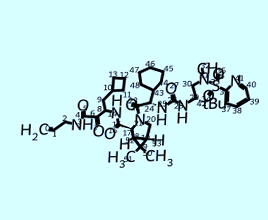 C=CCNC(=O)C(=O)C(CC1CCC1)NC(=O)[C@@H]1[C@@H]2[C@H](CN1C(=O)[C@@H](NC(=O)N[C@H](CN(C)S(=O)(=O)c1ccccn1)C(C)(C)C)C1CCCCC1)C2(C)C